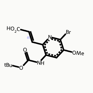 COc1cc(NC(=O)OC(C)(C)C)c(/C=C/C(=O)O)nc1Br